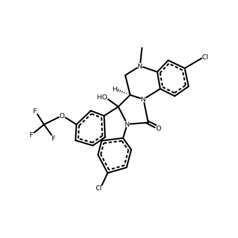 CN1C[C@H]2N(C(=O)N(c3ccc(Cl)cc3)C2(O)c2cccc(OC(F)(F)F)c2)c2ccc(Cl)cc21